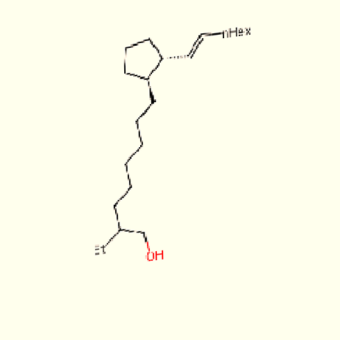 CCCCCCC=C[C@H]1CCC[C@@H]1CCCCCCC(CC)CO